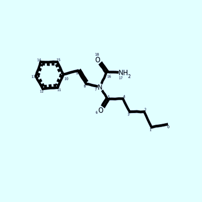 CCCCCC(=O)N(C=Cc1ccccc1)C(N)=O